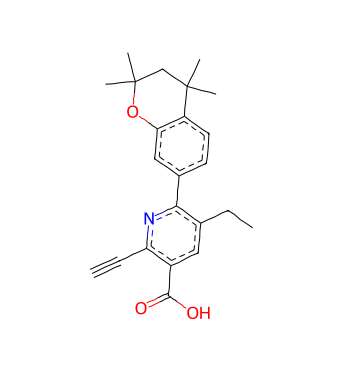 C#Cc1nc(-c2ccc3c(c2)OC(C)(C)CC3(C)C)c(CC)cc1C(=O)O